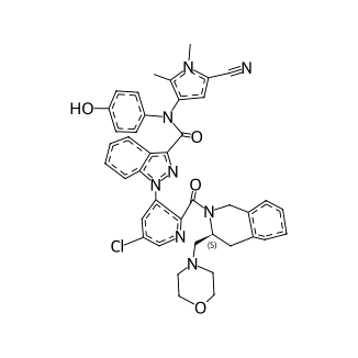 Cc1c(N(C(=O)c2nn(-c3cc(Cl)cnc3C(=O)N3Cc4ccccc4C[C@H]3CN3CCOCC3)c3ccccc23)c2ccc(O)cc2)cc(C#N)n1C